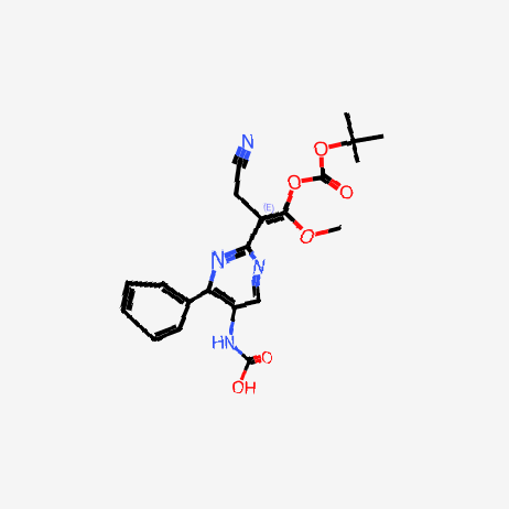 CO/C(OC(=O)OC(C)(C)C)=C(/CC#N)c1ncc(NC(=O)O)c(-c2ccccc2)n1